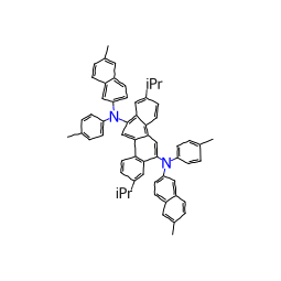 Cc1ccc(N(c2ccc3cc(C)ccc3c2)c2cc3c4ccc(C(C)C)cc4c(N(c4ccc(C)cc4)c4ccc5cc(C)ccc5c4)cc3c3ccc(C(C)C)cc23)cc1